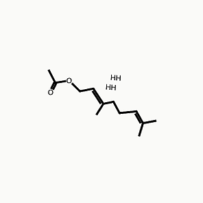 CC(=O)OC/C=C(\C)CCC=C(C)C.[HH].[HH]